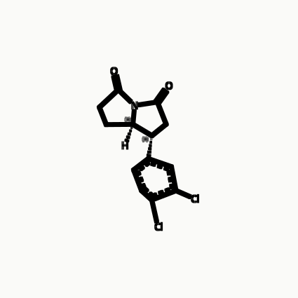 O=C1CC[C@@H]2[C@@H](c3ccc(Cl)c(Cl)c3)CC(=O)N12